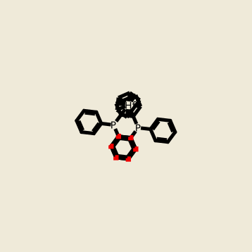 c1ccc(P(c2ccccc2)[C]23[CH]4[CH]5[CH]6[C]2(P(c2ccccc2)c2ccccc2)[Hf]54632789[CH]3[CH]2[CH]7[CH]8[CH]39)cc1